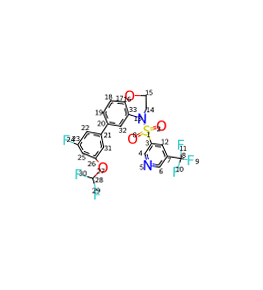 O=S(=O)(c1cncc(C(F)(F)F)c1)N1CCOc2ccc(-c3cc(F)cc(OC(F)F)c3)cc21